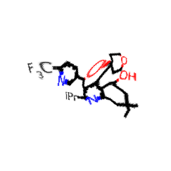 CC(C)c1nc2c(c3c1C(c1ccc(C(F)(F)F)nc1)OC31CCOCC1)C(O)CC(C)(C)C2